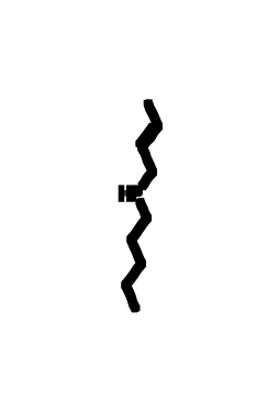 CC=CCPCCCCC